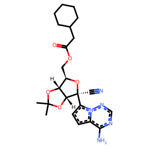 CC1(C)O[C@H]2[C@@H](O1)[C@](C#N)(c1ccc3c(N)ncnn13)O[C@@H]2COC(=O)CC1CCCCC1